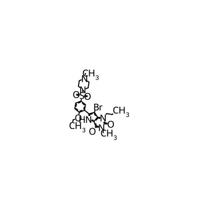 CCCn1c(=O)n(C)c(=O)c2[nH]c(-c3cc(S(=O)(=O)N4CCN(C)CC4)ccc3OCC)c(Br)c21